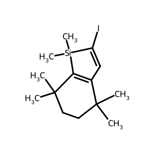 CC1(C)CCC(C)(C)C2=C1C=C(I)[Si]2(C)C